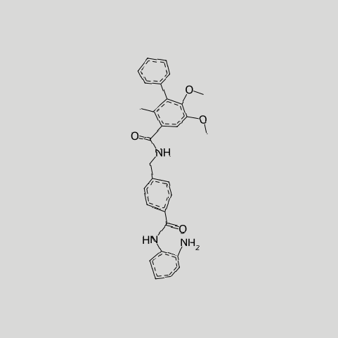 COc1cc(C(=O)NCc2ccc(C(=O)Nc3ccccc3N)cc2)c(C)c(-c2ccccc2)c1OC